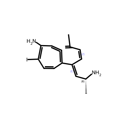 C=C(C)/C=C\C(=C/[C@@H](C)N)C1=C=CC(N)=C(I)C=C1